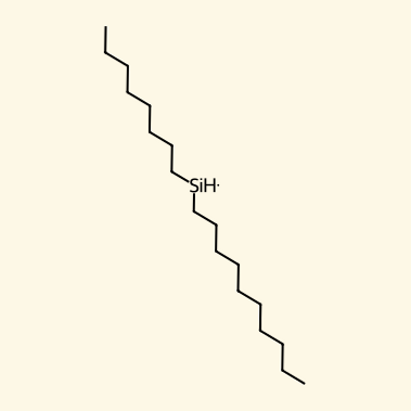 CCCCCCCCCC[SiH]CCCCCCCC